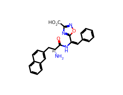 N[C@H](Cc1ccc2ccccc2c1)C(=O)NC(=Cc1ccccc1)c1nc(C(=O)O)no1